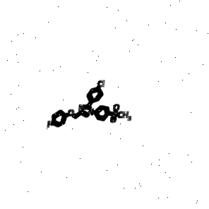 CS(=O)(=O)c1ccc(-n2cc(COc3ccc(F)cc3)nc2-c2ccc(Cl)cc2)cc1